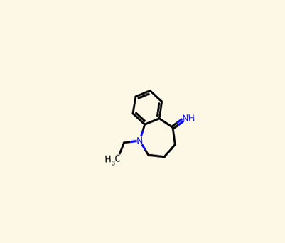 CCN1CCCC(=N)c2ccccc21